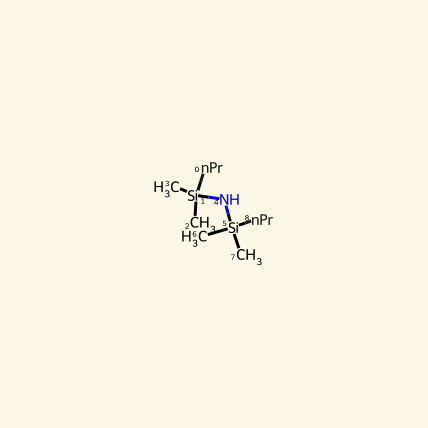 CCC[Si](C)(C)N[Si](C)(C)CCC